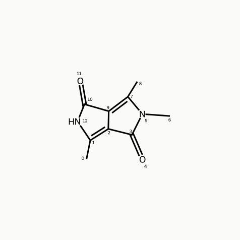 CC1=C2C(=O)N(C)C(C)=C2C(=O)N1